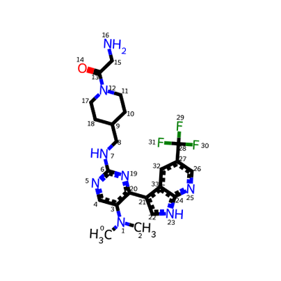 CN(C)c1cnc(NCC2CCN(C(=O)CN)CC2)nc1-c1c[nH]c2ncc(C(F)(F)F)cc12